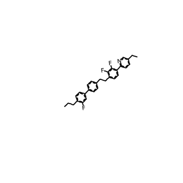 CCCc1ccc(-c2ccc(CCc3ccc(-c4ccc(CC)cn4)c(F)c3F)cc2)cc1F